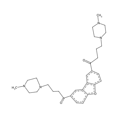 CN1CCN(CCCC(=O)c2ccc3oc4ccc(C(=O)CCCN5CCN(C)CC5)cc4c3c2)CC1